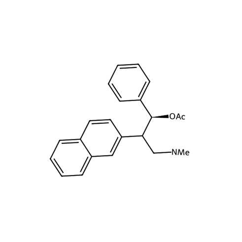 CNCC(c1ccc2ccccc2c1)[C@H](OC(C)=O)c1ccccc1